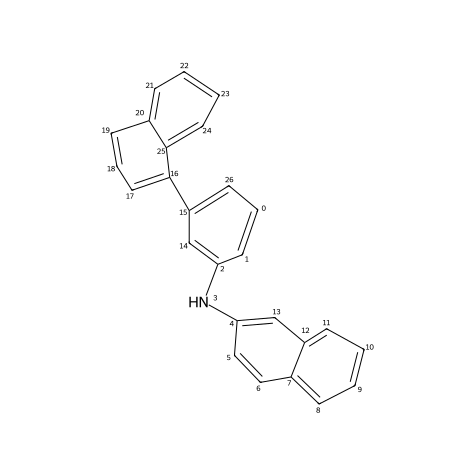 c1cc(Nc2ccc3ccccc3c2)cc(-c2cccc3ccccc23)c1